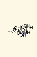 C/C=C(/O)C(OC1OC(C)C(O)C(O)C1O)C(O)C(OC)OC(CCCCCCC)CC(=O)O